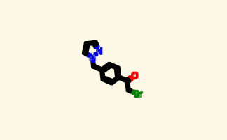 O=C(CBr)c1ccc(Cn2cccn2)cc1